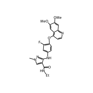 CCNC(=O)c1cn(C)nc1Nc1ccc(Oc2ccnc3cc(OC)c(OC)cc23)c(F)c1